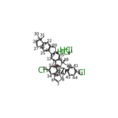 Cl.Cl.[CH2]=[Zr]([C]1=CC=CC1)([C]1=Cc2cc3c(cc2C1(C)C)Cc1cc2c(cc1-3)C=CC2(C)C)([c]1ccc(Cl)cc1)[c]1ccc(Cl)cc1